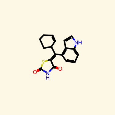 O=C1NC(=O)C(=C(c2cccc3[nH]ccc23)C2C=CCCC2)S1